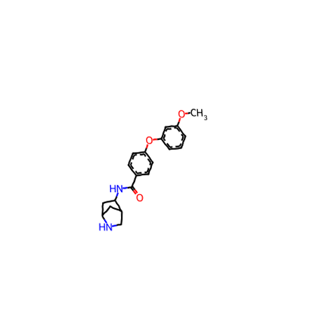 COc1cccc(Oc2ccc(C(=O)NC3CC4CC3CN4)cc2)c1